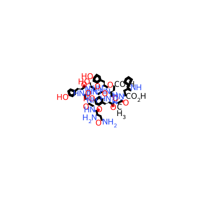 C[C@H](NC(=O)[C@H](Cc1ccc(O)cc1)NC(=O)[C@H](CCC(=O)O)NC(=O)[C@H](Cc1ccc(O)cc1)NC(=O)CNC(=O)[C@H](CO)NC(=O)[C@H](Cc1ccc(O)cc1)NC(=O)CNC(=O)CNC(=O)[C@@H](N)CC(N)=O)C(=O)N[C@@H](Cc1c[nH]c2ccccc12)C(=O)O